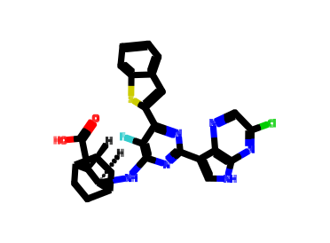 O=C(O)[C@H]1C2CCC(CC2)[C@@H]1Nc1nc(-c2c[nH]c3nc(Cl)cnc23)nc(-c2cc3ccccc3s2)c1F